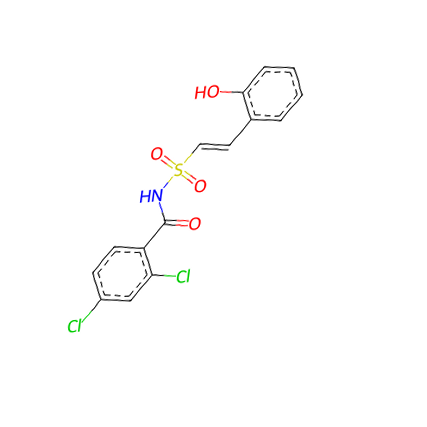 O=C(NS(=O)(=O)C=Cc1ccccc1O)c1ccc(Cl)cc1Cl